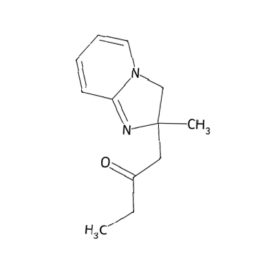 CCC(=O)CC1(C)CN2C=CC=CC2=N1